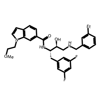 CCc1cccc(CNC[C@H](O)[C@H](Cc2cc(F)cc(F)c2)NC(=O)c2ccc3ccn(CCOC)c3c2)c1